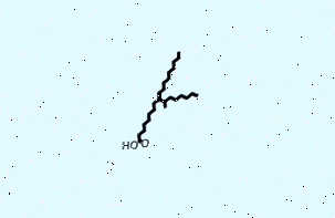 CCCCCCCCC=C(CCCCCCCC(=O)O)C(C)CCCCCC